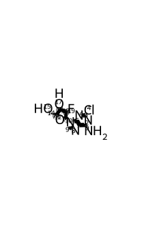 Nc1nc(Cl)nc2c1ncn2C1O[C@H](CO)[C@@H](O)[C@@H]1F